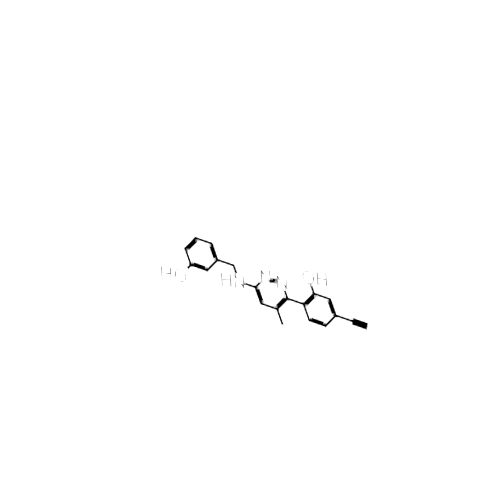 C#Cc1ccc(-c2nnc(NCc3cccc(O)c3)cc2C)c(O)c1